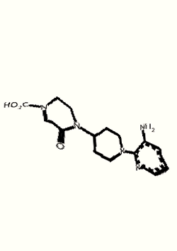 Nc1cccnc1N1CCC(N2CCN(C(=O)O)CC2=O)CC1